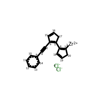 [Cl-].[Cl-].[Zr+2][C]1=C(C2=C(C#Cc3ccccc3)C=CC2)C=CC1